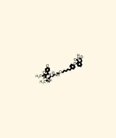 Cc1sc2c(c1C)C(c1ccc(Cl)cc1)=N[C@@H](CC(=O)NCCOCCCCCc1ccc(Oc3cccc4c3C(=O)NC(=O)C4)cc1)c1nnc(C)n1-2